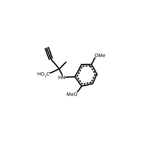 C#CC(C)(Nc1cc(OC)ccc1OC)C(=O)O